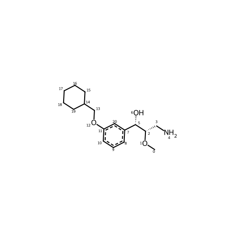 CO[C@@H](CN)[C@@H](O)c1cccc(OCC2CCCCC2)c1